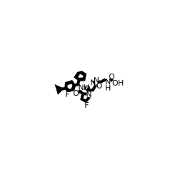 O=C(O)NCc1nnc(CC(=O)N2CC(F)CC2C(=O)NC(c2ccccc2)c2ccc(C3CC3)c(F)c2)o1